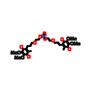 COC1=C(OC)C(=O)C(CCCOCCO[N+](=O)OCCOCCCC2=C(C)C(=O)C(OC)=C(OC)C2=O)=C(C)C1=O